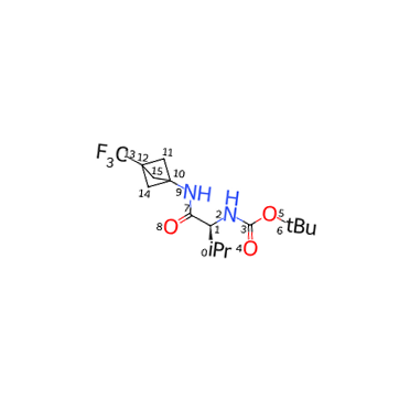 CC(C)[C@H](NC(=O)OC(C)(C)C)C(=O)NC12CC(C(F)(F)F)(C1)C2